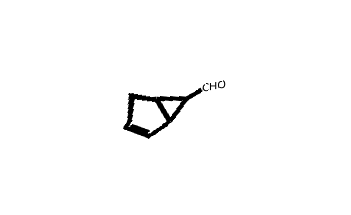 O=CC1C2C=CCC12